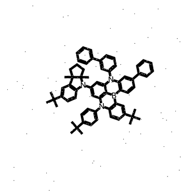 CC(C)(C)c1ccc(N2c3ccc(C(C)(C)C)cc3B3c4ccc(-c5ccccc5)cc4N(c4cccc(-c5ccccc5)c4)c4cc(N5c6ccc(C(C)(C)C)cc6C6(C)CCCC56C)cc2c43)cc1